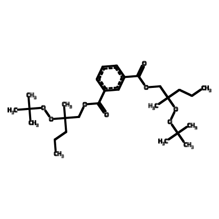 CCCC(C)(COC(=O)c1cccc(C(=O)OCC(C)(CCC)OOC(C)(C)C)c1)OOC(C)(C)C